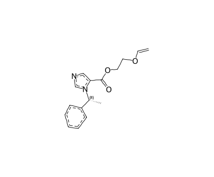 C=COCCOC(=O)c1cncn1[C@H](C)c1ccccc1